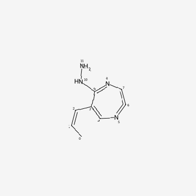 C/C=C\C1=CN=C=CN=C1NN